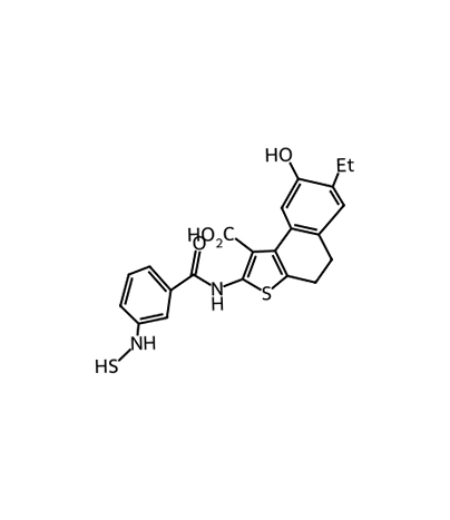 CCc1cc2c(cc1O)-c1c(sc(NC(=O)c3cccc(NS)c3)c1C(=O)O)CC2